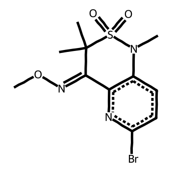 CON=C1c2nc(Br)ccc2N(C)S(=O)(=O)C1(C)C